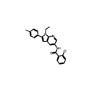 CCn1c(-c2ccc(C)cc2)cc2cc(NC(=O)c3ccccc3Cl)cnc21